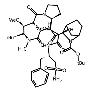 CC[C@H](C)[C@@H]([C@H](CC(=O)N1CCC[C@H]1[C@H](OC)[C@@H](C)C(=O)N[C@@H](Cc1ccccc1)CS(N)(=O)=O)OC)N(C)C(=O)[C@@H](NC(=O)C1C2CCC(C2)N1C(=O)OC(C)(C)C)C(C)C